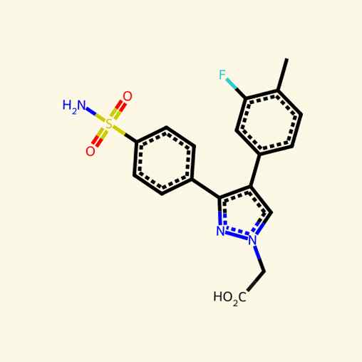 Cc1ccc(-c2cn(CC(=O)O)nc2-c2ccc(S(N)(=O)=O)cc2)cc1F